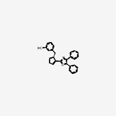 Oc1cccc(C[C@@H]2CCC=C2c2nc(-c3ccccc3)c(-c3ccccc3)o2)c1